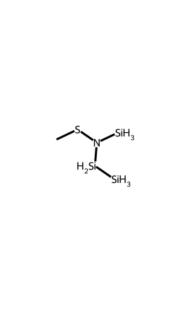 CSN([SiH3])[SiH2][SiH3]